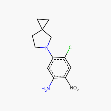 Nc1cc(N2CCC3(CC3)C2)c(Cl)cc1[N+](=O)[O-]